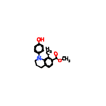 COC(=O)c1ccc2c(c1C)N(c1ccc(O)cc1)CCC2